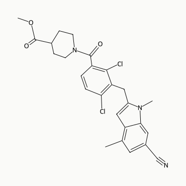 COC(=O)C1CCN(C(=O)c2ccc(Cl)c(Cc3cc4c(C)cc(C#N)cc4n3C)c2Cl)CC1